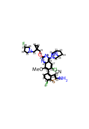 COc1c(-c2ccc(F)c3sc(N)c(C#N)c23)c(Cl)cc2c(N3CC4CCC(C3)N4)nc(OCC3(CN4CC[C@@H](F)C4)CC3)nc12